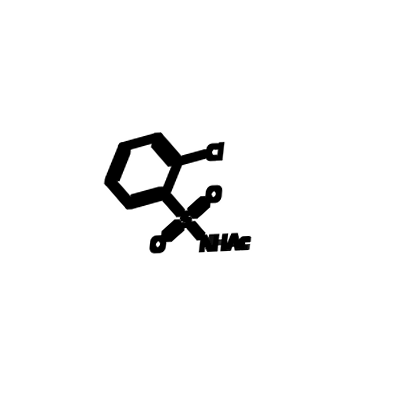 CC(=O)NS(=O)(=O)c1ccccc1Cl